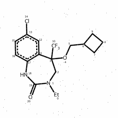 CCN1CC(OCC2CCC2)(C(F)(F)F)c2cc(Cl)ccc2NC1=O